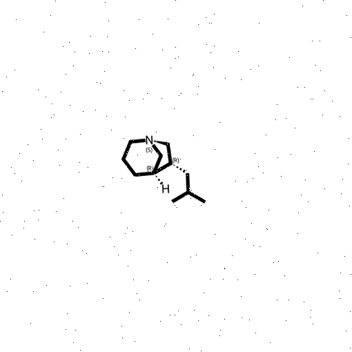 CC(C)C[C@H]1C[N@]2CCC[C@H]1C2